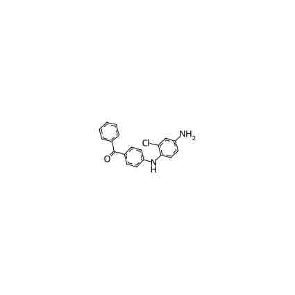 Nc1ccc(Nc2ccc(C(=O)c3ccccc3)cc2)c(Cl)c1